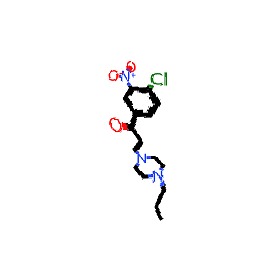 CCCN1CCN(C=CC(=O)c2ccc(Cl)c([N+](=O)[O-])c2)CC1